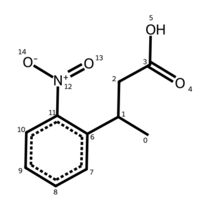 CC(CC(=O)O)c1ccccc1[N+](=O)[O-]